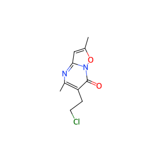 Cc1cc2nc(C)c(CCCl)c(=O)n2o1